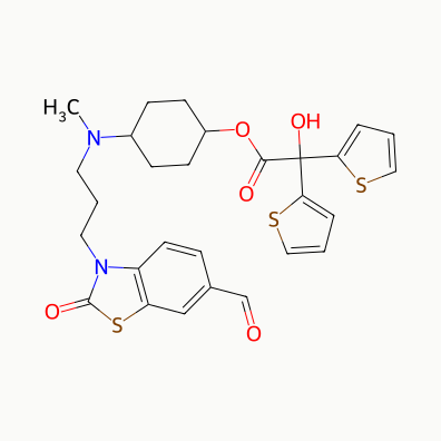 CN(CCCn1c(=O)sc2cc(C=O)ccc21)C1CCC(OC(=O)C(O)(c2cccs2)c2cccs2)CC1